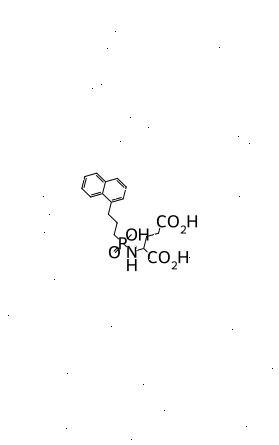 O=C(O)CCC(NP(=O)(O)CCCc1cccc2ccccc12)C(=O)O